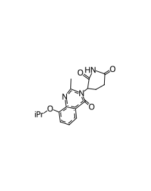 Cc1nc2c(OC(C)C)cccc2c(=O)n1C1CCC(=O)NC1=O